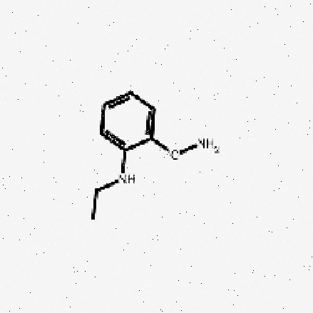 CCNc1ccccc1ON